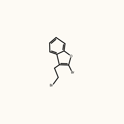 BrCCc1c(Br)oc2ccccc12